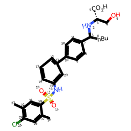 CCCCC(N[C@@H](CO)C(=O)O)c1ccc(-c2cccc(NS(=O)(=O)c3cc(C)c(Cl)cc3C)c2)cc1